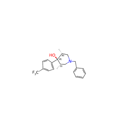 C[C@@H]1CN(Cc2ccccc2)C[C@H](C)[C@]1(O)c1ccc(C(F)(F)F)cc1